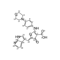 O=C(O)C1=C(Nc2ccc(N3CCOCC3)cc2)OC(=Cc2c[nH]c3ncccc23)C1=O